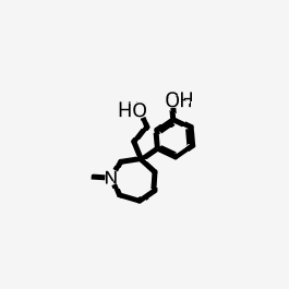 CN1CCCCC(CCO)(c2cccc(O)c2)C1